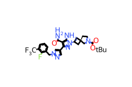 CC(C)(C)OC(=O)N1CC[C@]2(C1)C[C@H](n1nc(-c3cnn(Cc4cccc(C(F)(F)F)c4F)c3)c(C(N)=O)c1N)C2